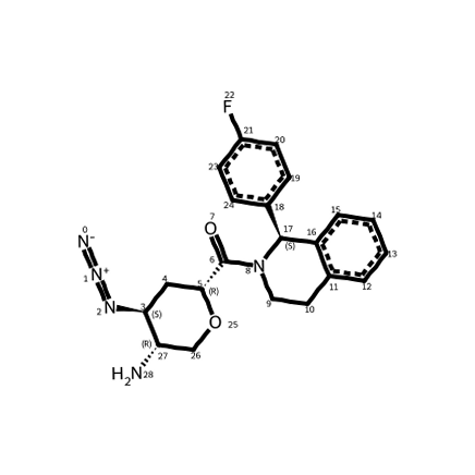 [N-]=[N+]=N[C@H]1C[C@H](C(=O)N2CCc3ccccc3[C@@H]2c2ccc(F)cc2)OC[C@@H]1N